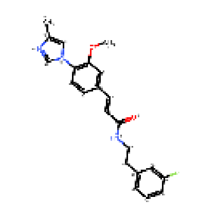 COc1cc(C=CC(=O)NCCc2cccc(F)c2)ccc1-n1cnc(C)c1